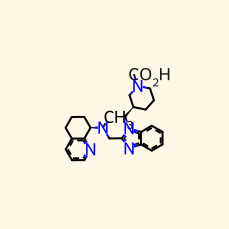 CN(Cc1nc2ccccc2n1C[C@@H]1CCCN(C(=O)O)C1)[C@@H]1CCCc2cccnc21